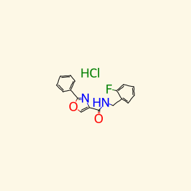 Cl.O=C(NCc1ccccc1F)c1coc(-c2ccccc2)n1